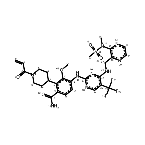 C=CC(=O)N1CCC(c2c(C(N)=O)ccc(Nc3ncc(C(F)(F)F)c(NCc4nccnc4N(C)S(C)(=O)=O)n3)c2OC)CC1